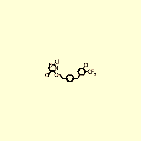 FC(F)(F)c1cc(Cc2ccc(CCOc3nc(Cl)ncc3Cl)cc2)ccc1Cl